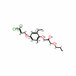 CCCOCC(=O)COc1c(C)cc(OCC=C(Cl)Cl)cc1CC